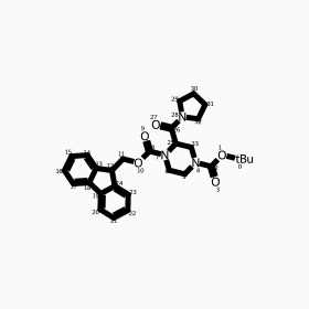 CC(C)(C)OC(=O)N1CCN(C(=O)OCC2c3ccccc3-c3ccccc32)C(C(=O)N2CCCC2)C1